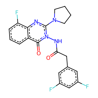 O=C(Cc1cc(F)cc(F)c1)Nn1c(N2CCCC2)nc2c(F)cccc2c1=O